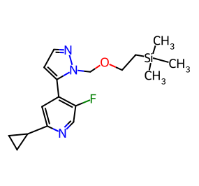 C[Si](C)(C)CCOCn1nccc1-c1cc(C2CC2)ncc1F